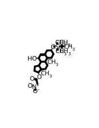 CC(C)(C)[Si](C)(C)O[C@H]1CC[C@@]2(C)C(=C[C@H](O)C3C2CC[C@@]2(C)C3CC[C@H]2OC(=O)C[N+](=O)[O-])C1